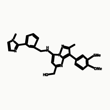 COc1ccc(-c2c(C)nn3c(NCc4cccc(-c5nccn5C)c4)cc(CO)nc23)cc1SC